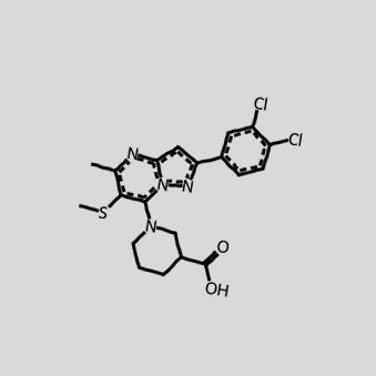 CSc1c(C)nc2cc(-c3ccc(Cl)c(Cl)c3)nn2c1N1CCCC(C(=O)O)C1